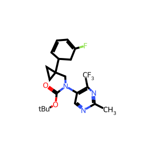 Cc1ncc(N(CC2(C3C=CC=C(F)C3)CC2)C(=O)OC(C)(C)C)c(C(F)(F)F)n1